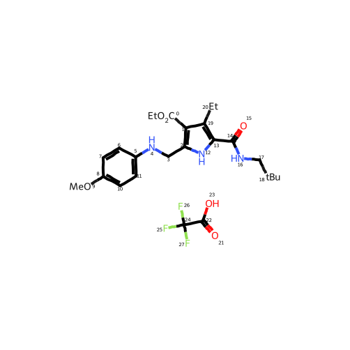 CCOC(=O)c1c(CNc2ccc(OC)cc2)[nH]c(C(=O)NCC(C)(C)C)c1CC.O=C(O)C(F)(F)F